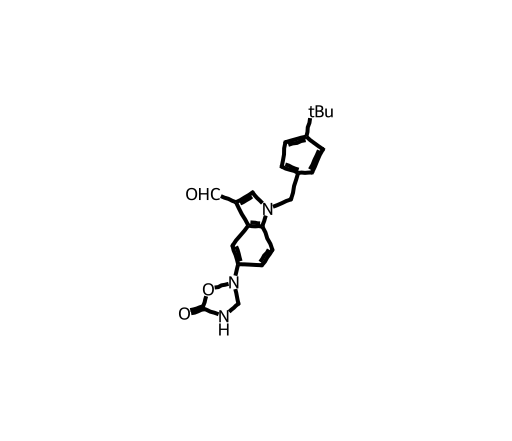 CC(C)(C)c1ccc(Cn2cc(C=O)c3cc(N4CNC(=O)O4)ccc32)cc1